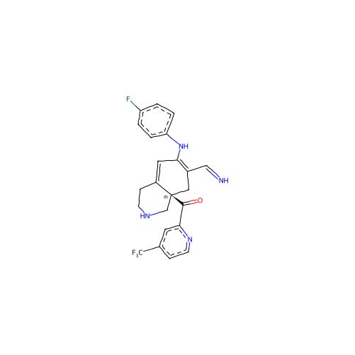 N=CC1=C(Nc2ccc(F)cc2)C=C2CCNC[C@@]2(C(=O)c2cc(C(F)(F)F)ccn2)C1